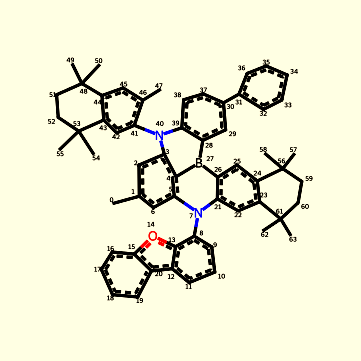 Cc1cc2c3c(c1)N(c1cccc4c1oc1ccccc14)c1cc4c(cc1B3c1cc(-c3ccccc3)ccc1N2c1cc2c(cc1C)C(C)(C)CCC2(C)C)C(C)(C)CCC4(C)C